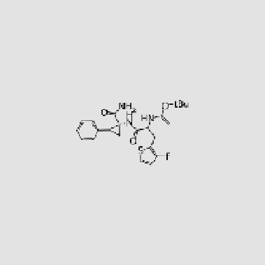 C=C(NC(Cc1sccc1F)C(=O)N[C@]1(C(N)=O)CC1c1ccccc1)OC(C)(C)C